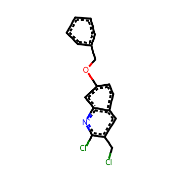 ClCc1cc2ccc(OCc3ccccc3)cc2nc1Cl